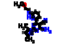 COCCNc1cccc(-c2nc(-n3nc(C)cc3C)nc(N)c2C#N)n1